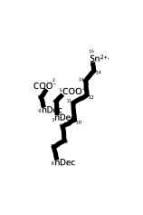 CCCCCCCCCCCC(=O)[O-].CCCCCCCCCCCC(=O)[O-].CCCCCCCCCCCCCCCCC[CH2][Sn+2]